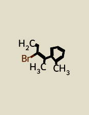 C=C/C(Br)=C(/C)c1ccccc1C